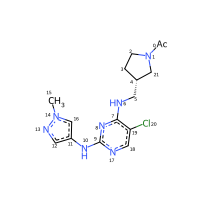 CC(=O)N1CC[C@@H](CNc2nc(Nc3cnn(C)c3)ncc2Cl)C1